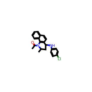 CC(=O)N1c2c(ccc3ccccc23)C(Nc2ccc(Cl)cc2)CC1C